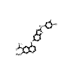 COc1cc2nccc(Oc3ccc4nc(Nc5ccc(Cl)c(F)c5)sc4c3)c2cc1C(N)=O